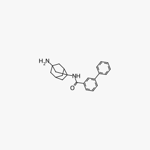 NC12CC3CC(C1)C(NC(=O)c1cccc(-c4ccccc4)c1)(C3)C2